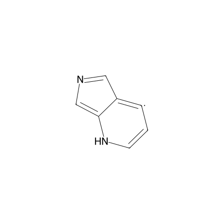 [c]1cc[nH]c2cncc1-2